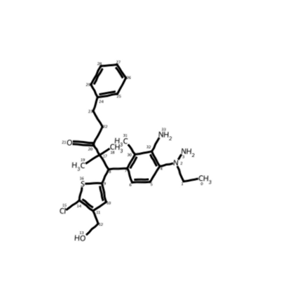 CCN(N)c1ccc(C(c2cc(CO)c(Cl)s2)C(C)(C)C(=O)CCc2ccccc2)c(C)c1N